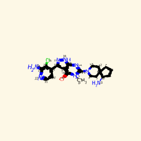 Cn1c(N2CCC3(CCC[C@H]3N)CC2)nc2[nH]nc(-c3ccnc(N)c3Cl)c2c1=O